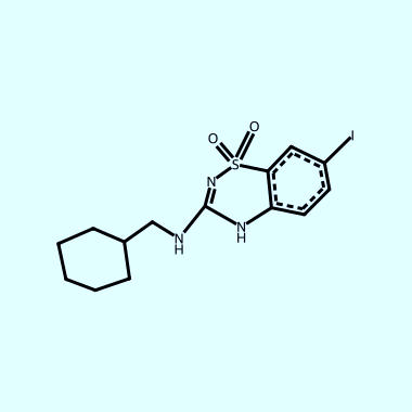 O=S1(=O)N=C(NCC2CCCCC2)Nc2ccc(I)cc21